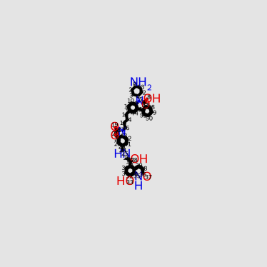 NC1CCC(N(C(=O)O)c2ccc(CCCCn3c(=O)oc4cc(CNC[C@@H](O)c5ccc(O)c6[nH]c(=O)ccc56)ccc43)cc2-c2ccccc2)CC1